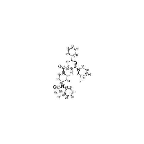 C[C@@H]1CN(C(=O)N[C@@H](CCc2ccccc2)C(=O)N2CCC(N3C(=O)C(C)(C)c4ccccc43)CC2)CCN1